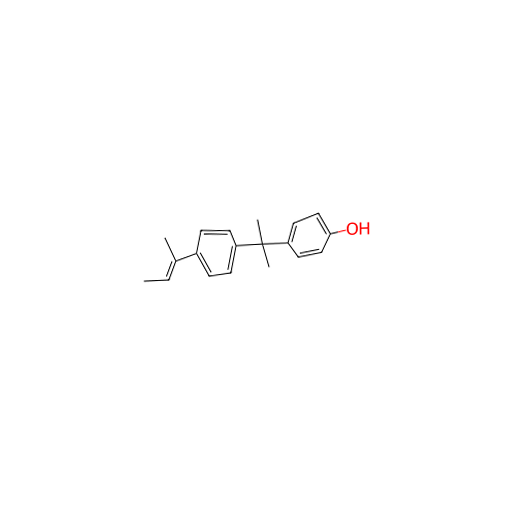 CC=C(C)c1ccc(C(C)(C)c2ccc(O)cc2)cc1